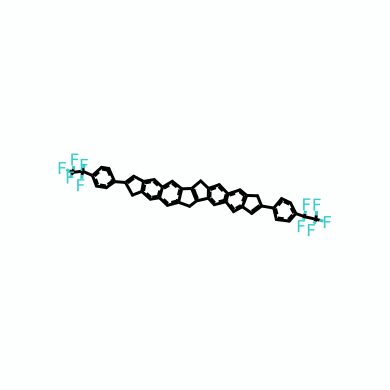 FC(F)(F)C(F)(F)c1ccc(C2=Cc3cc4cc5c(cc4cc3C2)CC2=C5Cc3cc4cc5c(cc4cc32)C=C(c2ccc(C(F)(F)C(F)(F)F)cc2)C5)cc1